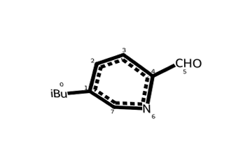 CCC(C)c1ccc(C=O)nc1